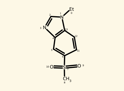 CCn1cnc2cc(S(C)(=O)=O)ccc21